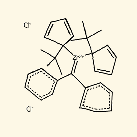 CC(C)(C)[C]1([Zr+2](=[C](c2ccccc2)c2ccccc2)[C]2(C(C)(C)C)C=CC=C2)C=CC=C1.[Cl-].[Cl-]